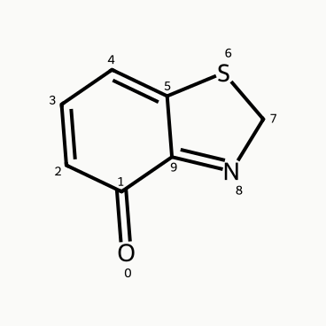 O=C1C=CC=C2SCN=C12